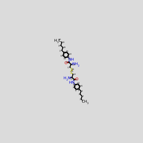 CCCCCc1ccc(NC(=O)C(N)CSSCC(N)C(=O)Nc2ccc(CCCCC)cc2)cc1